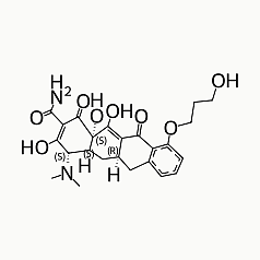 CN(C)[C@@H]1C(O)=C(C(N)=O)C(=O)[C@@]2(O)C(O)=C3C(=O)c4c(cccc4OCCCO)C[C@H]3C[C@@H]12